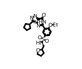 CCOc1ccc(S(=O)(=O)NCC2CCCO2)cc1-c1nn2c(C3CCCC3)nnc2c(=O)[nH]1